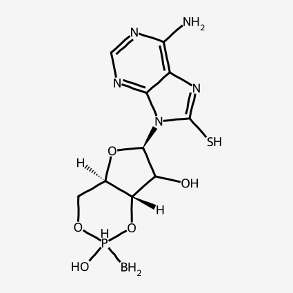 B[PH]1(O)OC[C@H]2O[C@@H](n3c(S)nc4c(N)ncnc43)C(O)[C@@H]2O1